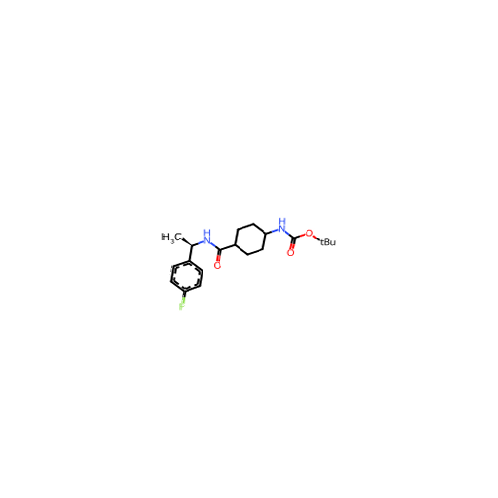 C[C@@H](NC(=O)C1CCC(NC(=O)OC(C)(C)C)CC1)c1ccc(F)cc1